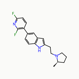 C[C@@H]1CCCN1CCc1cc2cc(-c3ccc(F)nc3F)ccc2[nH]1